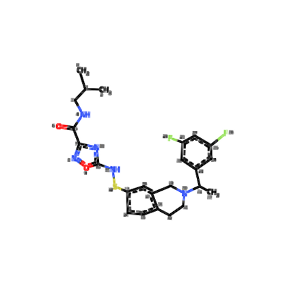 CC(C)CNC(=O)c1noc(NSc2ccc3c(c2)CN(C(C)c2cc(F)cc(F)c2)CC3)n1